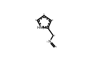 C=NCc1ccc[nH]1